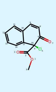 COC(=O)[C@@]1(Cl)C(=O)C=Cc2ccccc21